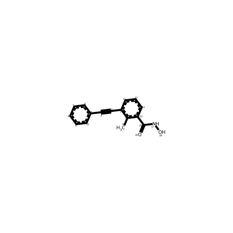 Cc1c(C#Cc2ccccc2)cccc1C(=O)NO